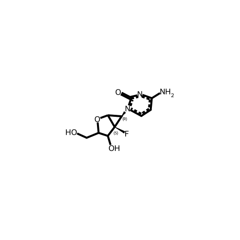 Nc1ccn([C@@H]2C3OC(CO)C(O)[C@]32F)c(=O)n1